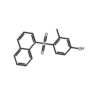 Cc1cc(O)ccc1S(=O)(=O)c1cccc2ccccc12